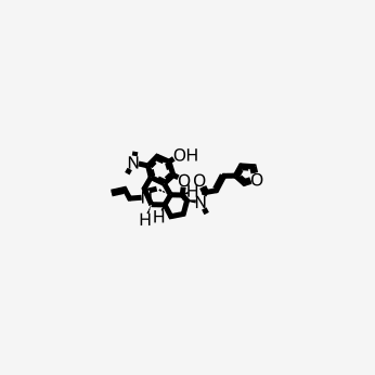 C=CCN1CC[C@]23c4c5c(N(C)C)cc(O)c4O[C@H]2[C@@H](N(C)C(=O)/C=C/c2ccoc2)CC[C@H]3[C@H]1C5